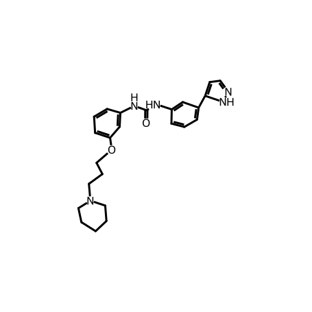 O=C(Nc1cccc(OCCCN2CCCCC2)c1)Nc1cccc(-c2ccn[nH]2)c1